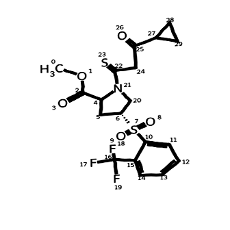 COC(=O)C1C[C@@H](S(=O)(=O)c2ccccc2C(F)(F)F)CN1C(=S)CC(=O)C1CC1